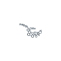 COc1nc(-c2cccc(-c3cccc(NC(=O)c4nc5c(n4C)CCN(C)C5)c3Cl)c2F)ccc1CN1CC2(C1)CN(C(C)=O)C2